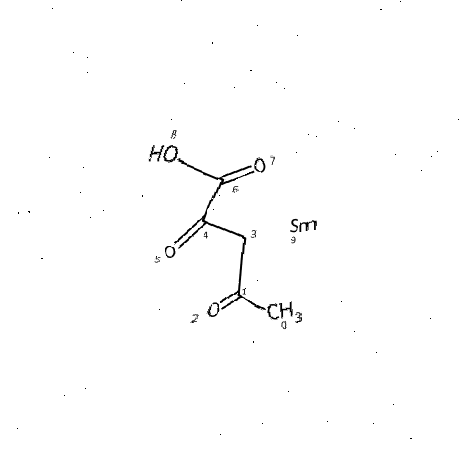 CC(=O)CC(=O)C(=O)O.[Sm]